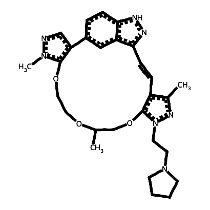 Cc1nn(CCN2CCCC2)c2c1/C=C/c1n[nH]c3ccc(cc13)-c1cnn(C)c1OCCOC(C)CO2